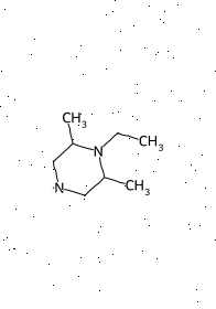 CCN1C(C)C[N]CC1C